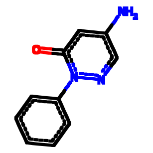 Nc1cnn(-c2ccccc2)c(=O)c1